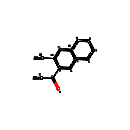 COC(=O)c1cc2ccccc2cc1OC